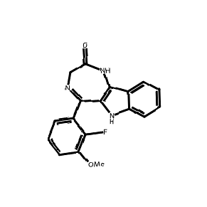 COc1cccc(C2=NCC(=O)Nc3c2[nH]c2ccccc32)c1F